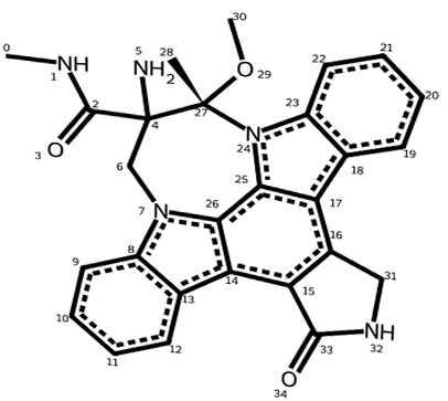 CNC(=O)C1(N)Cn2c3ccccc3c3c4c(c5c6ccccc6n(c5c32)[C@@]1(C)OC)CNC4=O